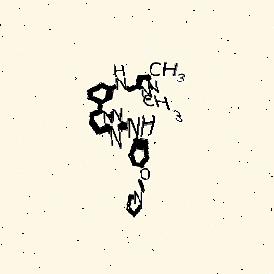 Cc1cc(CNc2cccc(-c3cccc4nc(Nc5ccc(OCCN6CCCC6)cc5)nn34)c2)n(C)n1